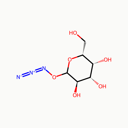 [N-]=[N+]=NOC1O[C@H](CO)[C@H](O)[C@H](O)[C@H]1O